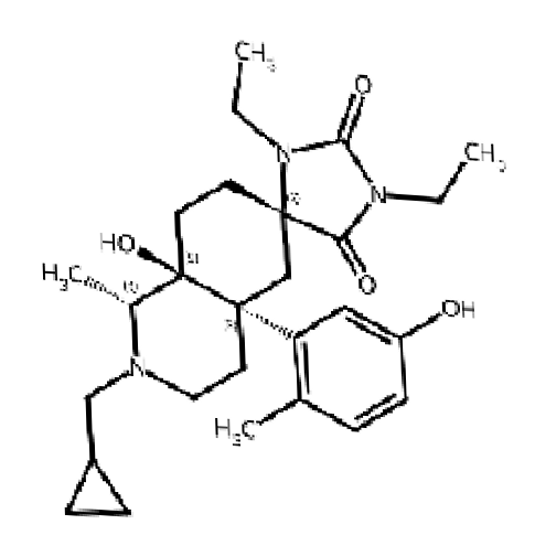 CCN1C(=O)N(CC)[C@]2(CC[C@@]3(O)[C@@H](C)N(CC4CC4)CC[C@]3(c3cc(O)ccc3C)C2)C1=O